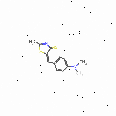 CC1=NC(=S)/C(=C\c2ccc(N(C)C)cc2)S1